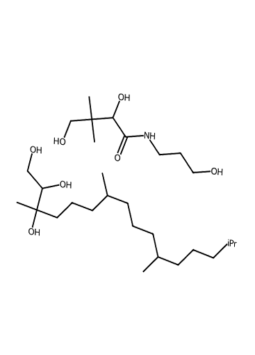 CC(C)(CO)C(O)C(=O)NCCCO.CC(C)CCCC(C)CCCC(C)CCCC(C)(O)C(O)CO